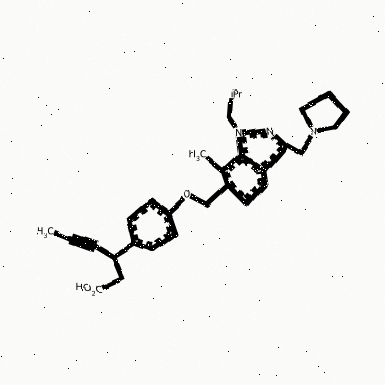 CC#CC(CC(=O)O)c1ccc(OCc2ccc3c(CN4CCCC4)nn(CC(C)C)c3c2C)cc1